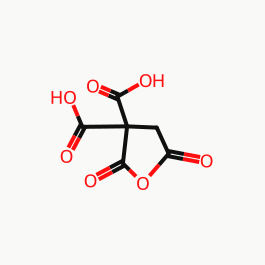 O=C1CC(C(=O)O)(C(=O)O)C(=O)O1